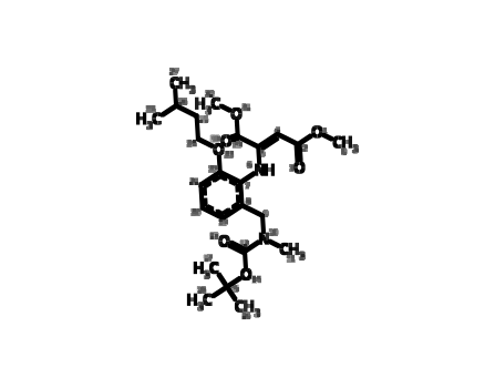 COC(=O)/C=C(\Nc1c(CN(C)C(=O)OC(C)(C)C)cccc1OCCC(C)C)C(=O)OC